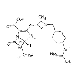 C.C[C@@H](O)[C@H]1C(=O)N2C(C(=O)O)=C(SC3CN(CC4CCC(NC(=N)N)CC4)C3)[C@H](C)[C@H]12